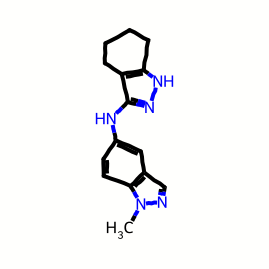 Cn1ncc2cc(Nc3n[nH]c4c3CCCC4)ccc21